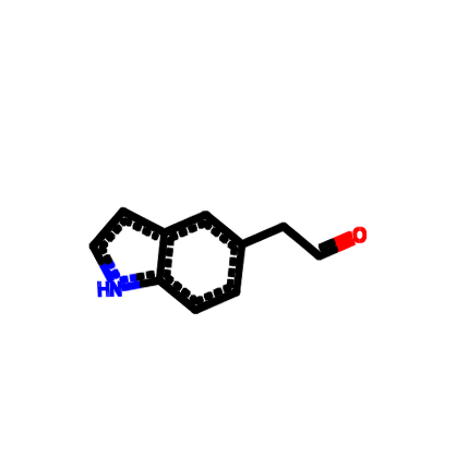 O=CCc1ccc2[nH]ccc2c1